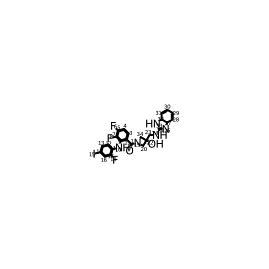 O=C(c1ccc(F)c(F)c1Nc1ccc(I)cc1F)N1CC(O)(CNC2=NC3C=CC=CC3N2)C1